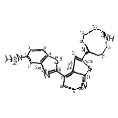 Nc1ccc2sc(-c3ccnc4sc(C5CCCNCC5)cc34)nc2c1